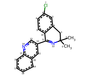 CC1(C)Cc2cc(Cl)ccc2C(c2cnc3ccccc3c2)=N1